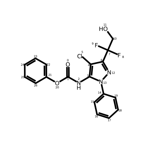 O=C(Nc1c(Cl)c(C(F)(F)CO)nn1-c1ccccc1)Oc1ccccc1